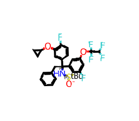 CC(C)(C)[S@+]([O-])N[C@@](Cc1ccccc1)(c1cc(F)cc(OC(F)(F)C(F)F)c1)c1ccc(F)c(OC2CC2)c1